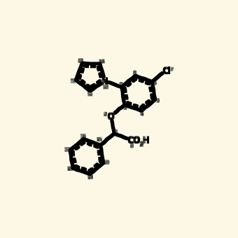 O=C(O)C(Oc1ccc(Cl)cc1-n1cccc1)c1ccccc1